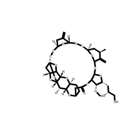 C=C1C[C@@H]2CC[C@@]34C[C@H]5O[C@H]6[C@@H](O3)[C@H]3OC(CC[C@@H]3O[C@H]6C5O4)CC(=O)CC3C(C[C@H]4O[C@@H](CC[C@@H]1O2)C[C@@H](C)C4=C)O[C@H](C[C@@H](O)CO)[C@@H]3OC